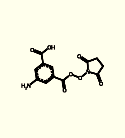 Nc1cc(C(=O)O)cc(C(=O)OON2C(=O)CCC2=O)c1